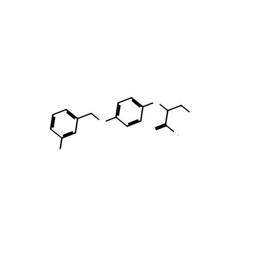 CCC(Oc1ccc(OCc2cccc(Cl)c2)cc1)C(N)=O